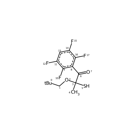 CC(C)(C)COC(C)(S)C(=O)c1c(F)c(F)cc(F)c1F